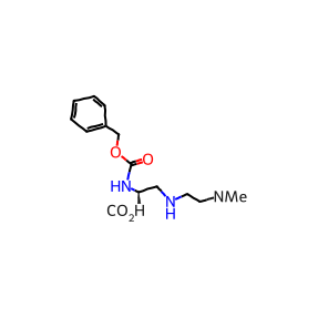 CNCCNC[C@H](NC(=O)OCc1ccccc1)C(=O)O